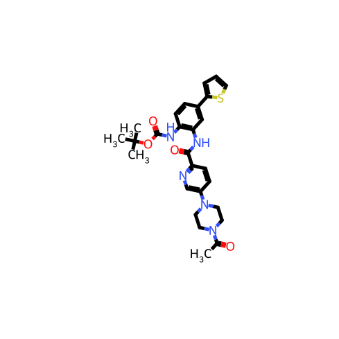 CC(=O)N1CCN(c2ccc(C(=O)Nc3cc(-c4cccs4)ccc3NC(=O)OC(C)(C)C)nc2)CC1